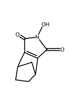 O=C1C2=C(C(=O)N1O)C1CCC2C1